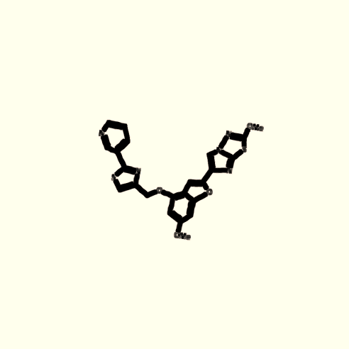 COc1cc(OCc2csc(-c3cccnc3)n2)c2cc(-c3cn4nc(OC)sc4n3)oc2c1